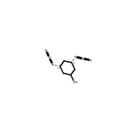 [N-]=[N+]=N[C@@H]1CC(O)C[C@H](N=[N+]=[N-])C1